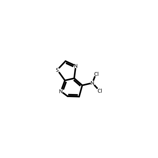 ClN(Cl)c1ccnc2scnc12